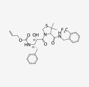 C=CCOC(=O)N[C@@H](Cc1ccccc1)[C@H](O)C(=O)N1CSC(C)(C)C1C(=O)NCc1ccccc1C(F)(F)F